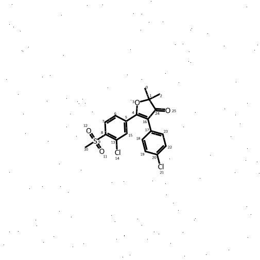 CC1(C)OC(c2ccc(S(C)(=O)=O)c(Cl)c2)=C(c2ccc(Cl)cc2)C1=O